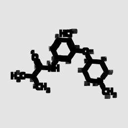 CC(C)C(=O)Nc1cccc(OC2CCN(C)CC2)c1.Cl